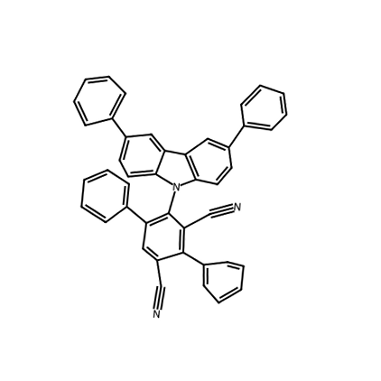 N#Cc1cc(-c2ccccc2)c(-n2c3ccc(-c4ccccc4)cc3c3cc(-c4ccccc4)ccc32)c(C#N)c1-c1ccccc1